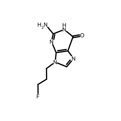 Nc1nc2c(ncn2CCCF)c(=O)[nH]1